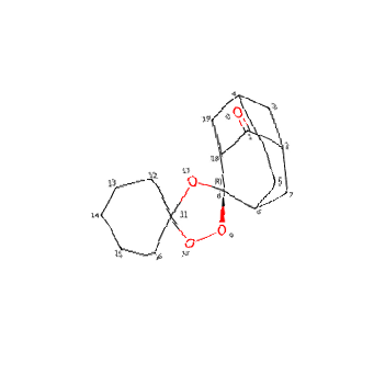 O=C1C2CC3CC(C2)[C@@]2(OOC4(CCCCC4)O2)C1C3